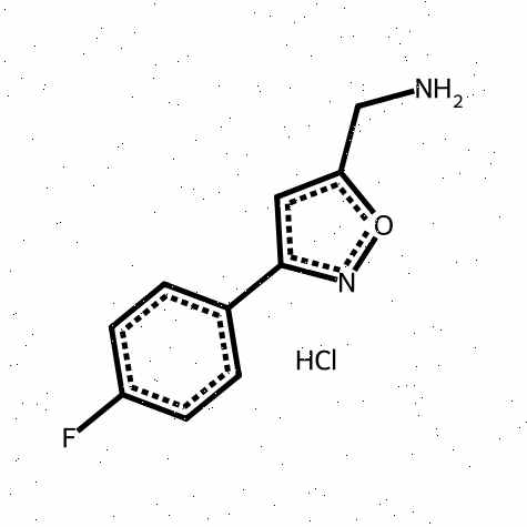 Cl.NCc1cc(-c2ccc(F)cc2)no1